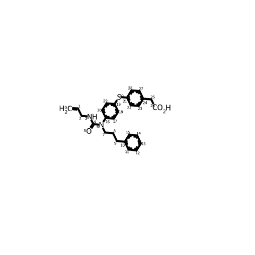 C=CCNC(=O)N(CCCc1ccccc1)c1ccc(Sc2ccc(CC(=O)O)cc2)cc1